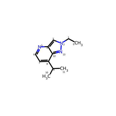 CCn1cc2nccc(C(C)C)c2n1